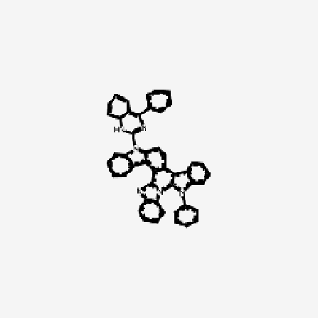 C1=CC2=C(c3ccccc3)N=C(n3c4ccccc4c4c5c(ccc43)c3c4ccccc4n(-c4ccccc4)c3n3c4ccccc4nc53)NC2C=C1